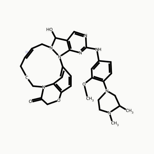 COc1cc(Nc2ncc3c(n2)N2c4ccc5c(c4)N(CCC/C=C\CN2C3O)C(=O)CO5)ccc1N1CCN(C)C(C)C1